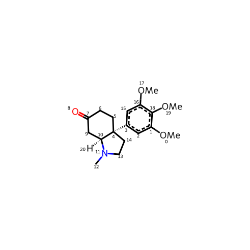 COc1cc([C@@]23CCC(=O)C[C@@H]2N(C)CC3)cc(OC)c1OC